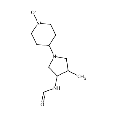 CC1CN(C2CC[S+]([O-])CC2)CC1NC=O